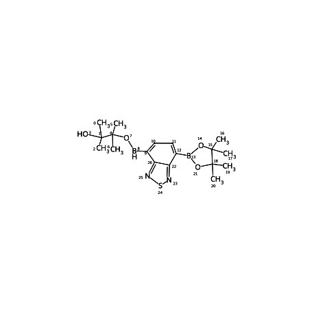 CC(C)(O)C(C)(C)OBc1ccc(B2OC(C)(C)C(C)(C)O2)c2nsnc12